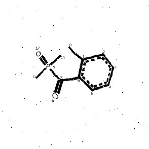 Cc1ccccc1C(=O)P(C)(C)=O